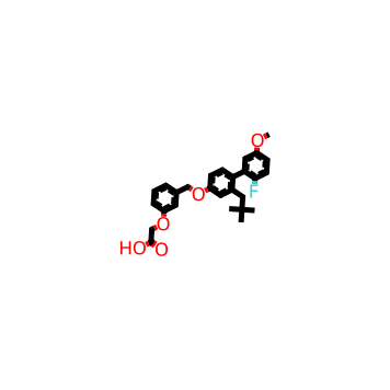 COc1ccc(F)c(-c2ccc(OCc3cccc(OCC(=O)O)c3)cc2CC(C)(C)C)c1